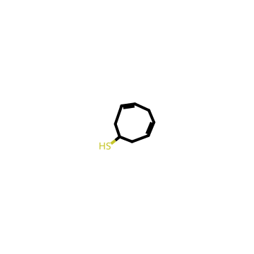 SC1CC=CCC=CC1